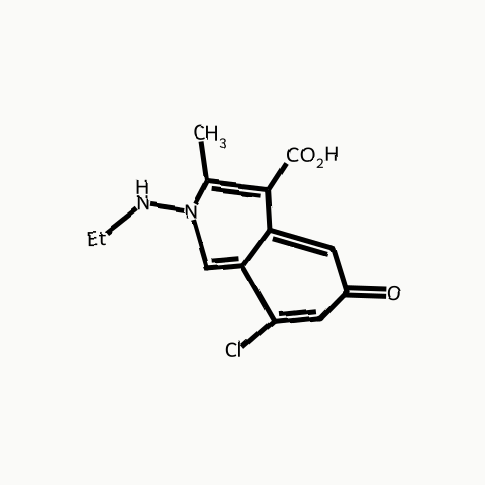 CCNn1cc2c(Cl)cc(=O)cc-2c(C(=O)O)c1C